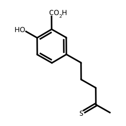 CC(=S)CCCc1ccc(O)c(C(=O)O)c1